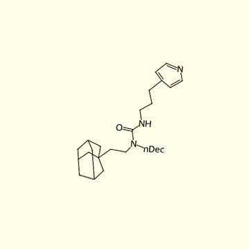 CCCCCCCCCCN(CCC12CC3CC(CC(C3)C1)C2)C(=O)NCCCc1ccncc1